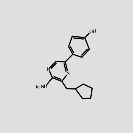 CC(=O)Nc1ncc(-c2ccc(O)cc2)nc1CC1CCCC1